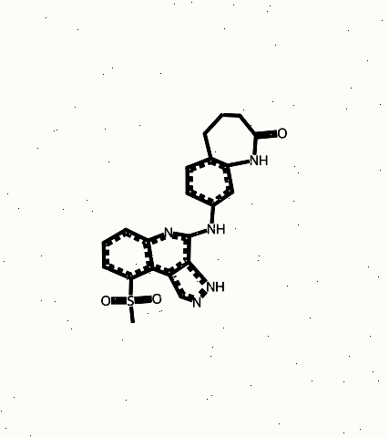 CS(=O)(=O)c1cccc2nc(Nc3ccc4c(c3)NC(=O)CCC4)c3[nH]ncc3c12